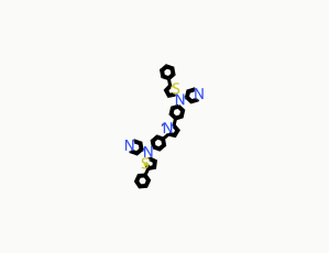 Cn1c(-c2ccc(N(c3ccncc3)c3ccc(-c4ccccc4)s3)cc2)ccc1-c1ccc(N(c2ccncc2)c2ccc(-c3ccccc3)s2)cc1